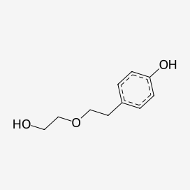 OCCOCCc1ccc(O)cc1